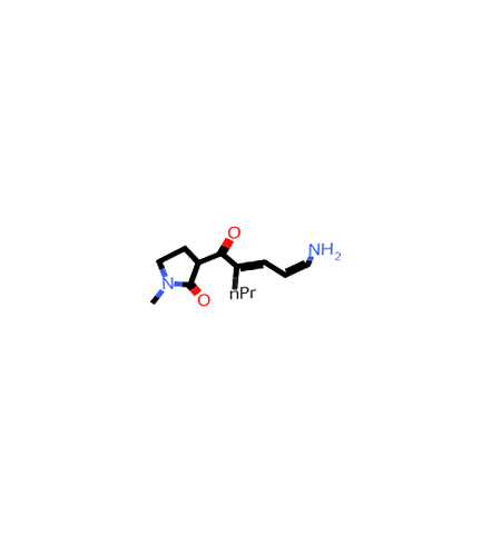 CCC/C(=C\C=C/N)C(=O)C1CCN(C)C1=O